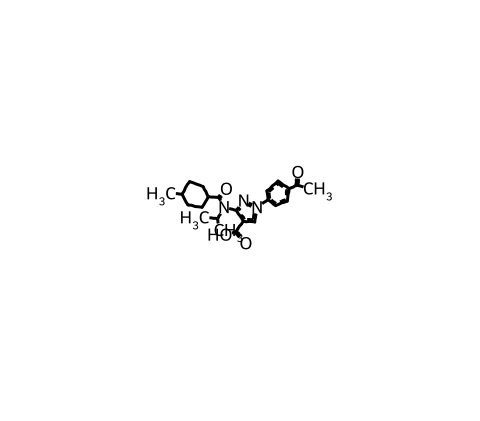 CC(=O)c1ccc(-n2cc(C(=O)O)c(N(C(=O)C3CCC(C)CC3)C(C)C)n2)cc1